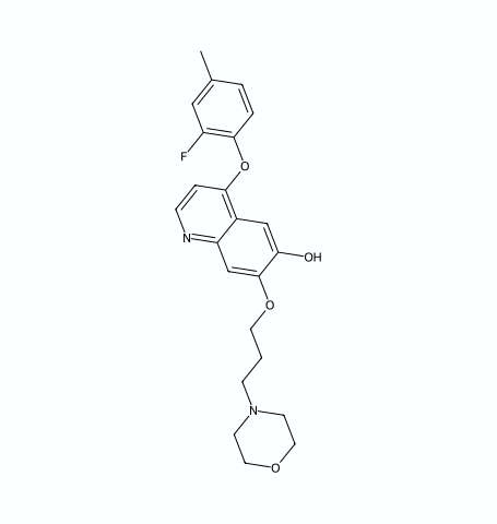 Cc1ccc(Oc2ccnc3cc(OCCCN4CCOCC4)c(O)cc23)c(F)c1